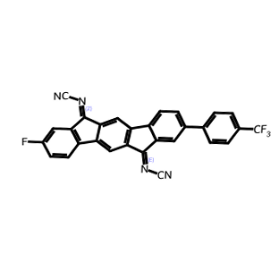 N#C/N=c1\c2cc(F)ccc2c2cc3/c(=N/C#N)c4cc(-c5ccc(C(F)(F)F)cc5)ccc4c3cc12